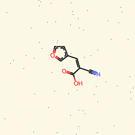 N#CC(=Cc1ccoc1)C(=O)O